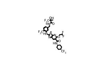 Cn1c(Nc2cc(CNC(=O)C(C)(O)C(F)(F)F)ccc2C(F)(F)F)nc2cc(C(=O)N[C@H]3CC[C@H](C(F)(F)F)CC3)c(OCC(F)F)nc21